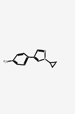 O=[N+]([O-])c1ccc(-c2cnn(C3CC3)c2)cc1